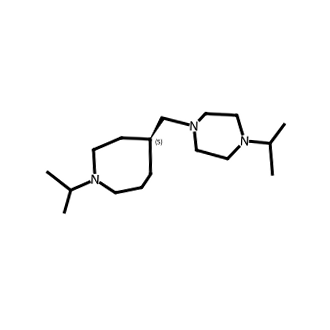 CC(C)N1CCC[C@H](CN2CCN(C(C)C)CC2)CC1